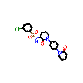 O=C1C(NS(=O)(=O)c2cccc(Cl)c2)CCCN1c1ccc(-n2ccccc2=O)cc1